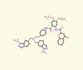 COc1cc(NC(=O)c2cc(=O)c3ccccc3o2)c(C(=O)Nc2ccc(CCN(Cc3ccc4cnn(C)c4c3)Cc3ccc4cnn(C)c4c3)cc2)cc1OC